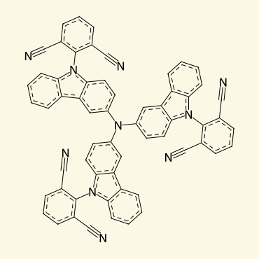 N#Cc1cccc(C#N)c1-n1c2ccccc2c2cc(N(c3ccc4c(c3)c3ccccc3n4-c3c(C#N)cccc3C#N)c3ccc4c(c3)c3ccccc3n4-c3c(C#N)cccc3C#N)ccc21